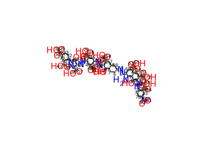 Nc1c(N=Nc2ccc3c(O)c(N=Nc4cc(S(=O)(=O)O)c(N=Nc5c(C(=O)O)nn(-c6ccc(S(=O)(=O)O)cc6C(=O)O)c5O)cc4S(=O)(=O)O)c(S(=O)(=O)O)cc3c2)cc(S(=O)(=O)O)c2cc(S(=O)(=O)O)c(N=Nc3ccc([N+](=O)[O-])cc3S(=O)(=O)O)c(O)c12